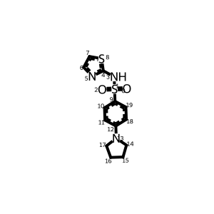 O=S(=O)(Nc1nccs1)c1ccc(N2CCCC2)cc1